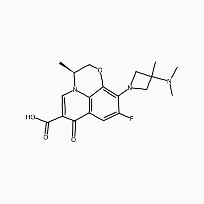 C[C@H]1COc2c(N3CC(C)(N(C)C)C3)c(F)cc3c(=O)c(C(=O)O)cn1c23